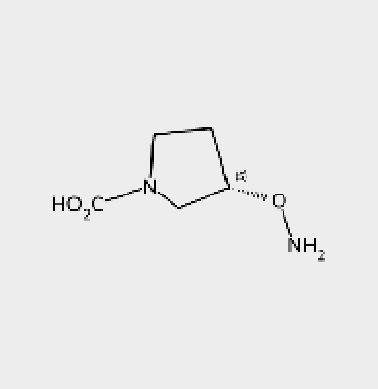 NO[C@H]1CCN(C(=O)O)C1